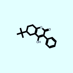 CC(C)(C)C1CCc2oc(=O)c(-c3ccccc3)c(O)c2C1